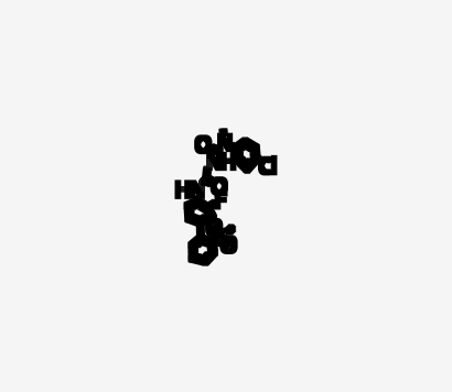 CN(C(=O)NCC(=O)Nc1ccc(-c2ccccc2S(C)(=O)=O)cc1F)c1ccc(Cl)cc1